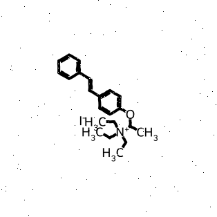 CC[N+](CC)(CC)C(C)Oc1ccc(C=Cc2ccccc2)cc1.[I-]